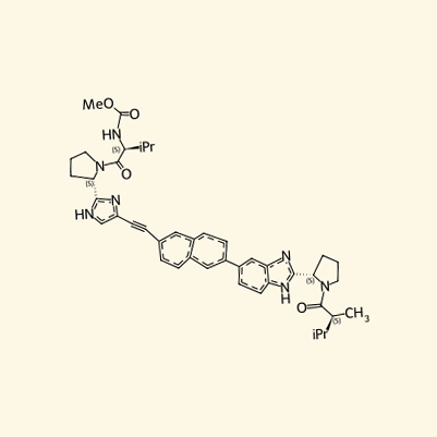 COC(=O)N[C@H](C(=O)N1CCC[C@H]1c1nc(C#Cc2ccc3cc(-c4ccc5[nH]c([C@@H]6CCCN6C(=O)[C@@H](C)C(C)C)nc5c4)ccc3c2)c[nH]1)C(C)C